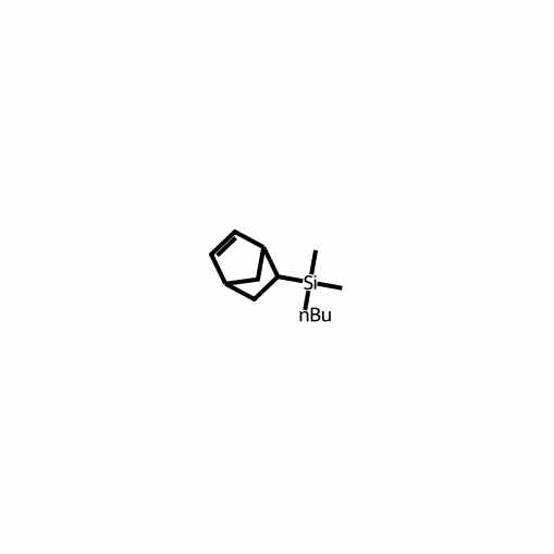 CCCC[Si](C)(C)C1CC2C=CC1C2